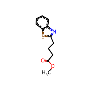 COC(=O)CCCc1nc2ccccc2s1